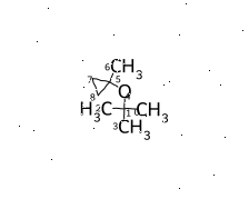 CC(C)(C)OC1(C)CC1